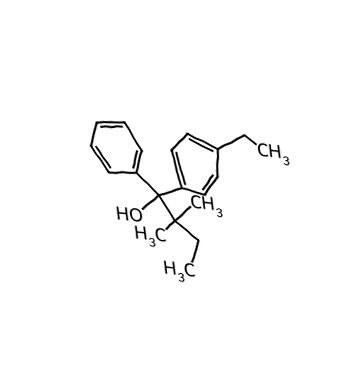 CCc1ccc(C(O)(c2ccccc2)C(C)(C)CC)cc1